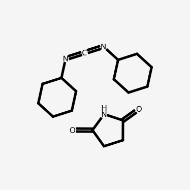 C(=NC1CCCCC1)=NC1CCCCC1.O=C1CCC(=O)N1